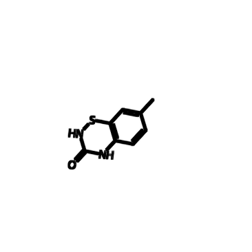 Cc1ccc2c(c1)SNC(=O)N2